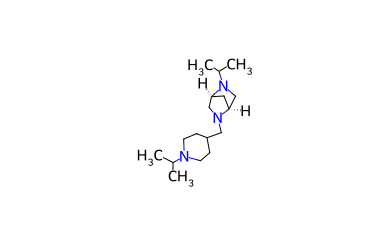 CC(C)N1CCC(CN2C[C@@H]3C[C@H]2CN3C(C)C)CC1